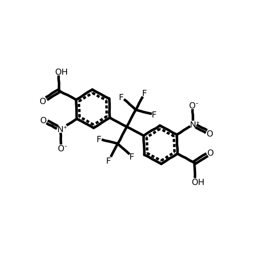 O=C(O)c1ccc(C(c2ccc(C(=O)O)c([N+](=O)[O-])c2)(C(F)(F)F)C(F)(F)F)cc1[N+](=O)[O-]